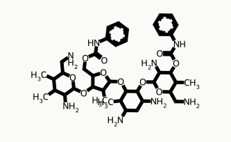 CC1C(CN)OC(OC2C(COC(=O)Nc3ccccc3)OC(OC3C(C)C(N)CC(N)C3OC3OC(CN)C(C)C(OC(=O)Nc4ccccc4)C3N)C2C)C(N)C1C